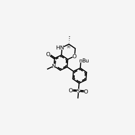 CCCCc1ccc(S(C)(=O)=O)cc1-c1cn(C)c(=O)c2c1OC[C@@H](C)N2